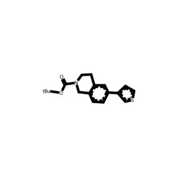 CC(C)(C)OC(=O)N1CCc2cc(-c3ccsc3)ccc2C1